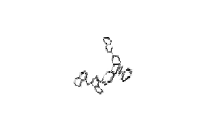 C1=CC(c2ccc(Cc3cccc4ccccc34)c3ccccc23)Cc2c1n(-c1ccccc1)c1ccc(-c3ccc4ccccc4c3)cc21